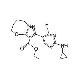 CCOC(=O)c1c(-c2ccc(NC3CC3)nc2F)nn2c1OCCCC2